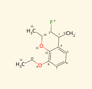 [CH2]C(CF)c1cccc(OCC)c1OCC